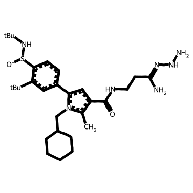 Cc1c(C(=O)NCC/C(N)=N/NN)cc(-c2ccc([S+]([O-])NC(C)(C)C)c(C(C)(C)C)c2)n1CC1CCCCC1